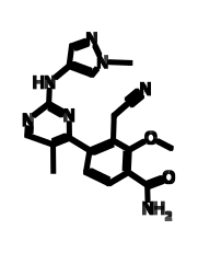 COc1c(C(N)=O)ccc(-c2nc(Nc3cnn(C)c3)ncc2C)c1CC#N